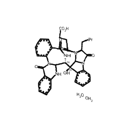 CC(C)CC1C(=O)N2c3ccccc3[C@](O)([C@H]3NC(=O)c4ccccc4N4C(=O)c5ccccc5NC34)C2N1C(=O)CCC(=O)O.O.O